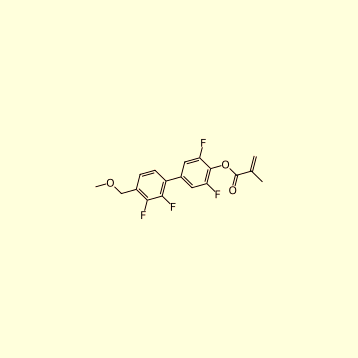 C=C(C)C(=O)Oc1c(F)cc(-c2ccc(COC)c(F)c2F)cc1F